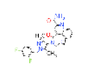 Cc1nn(Cc2ccc(F)cc2F)c(C)c1N1C/C=C/c2cccc3nc(C(N)=O)cc(c23)C1=O